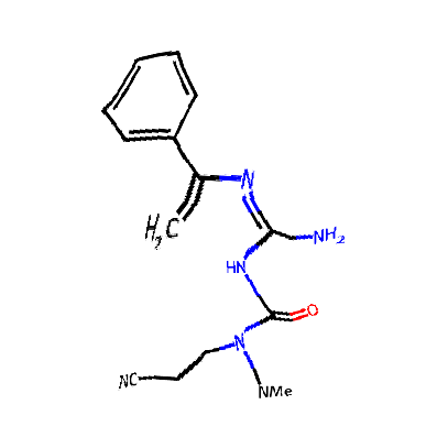 C=C(/N=C(/N)NC(=O)N(CCC#N)NC)c1ccccc1